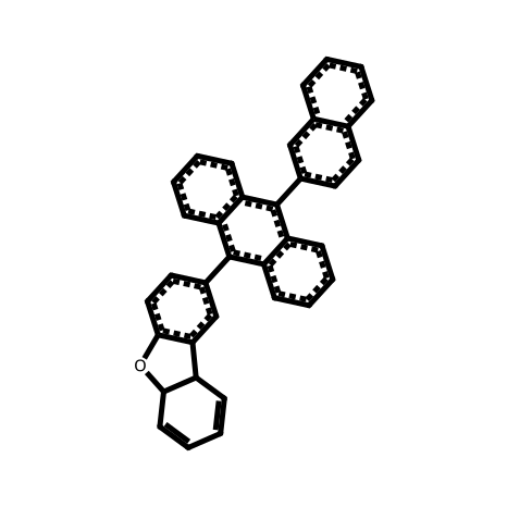 C1=CC2Oc3ccc(-c4c5ccccc5c(-c5ccc6ccccc6c5)c5ccccc45)cc3C2C=C1